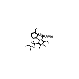 COC(=O)C1=C(CF)N(C)C(C)=C(C(=O)OC(C)CI)C1c1c(F)ccc(Cl)c1C(F)(F)F